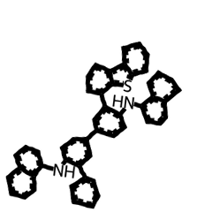 c1ccc(-c2cc(-c3ccc(Nc4cccc5ccccc45)c(-c4cccc5c4sc4ccccc45)c3)ccc2Nc2cccc3ccccc23)cc1